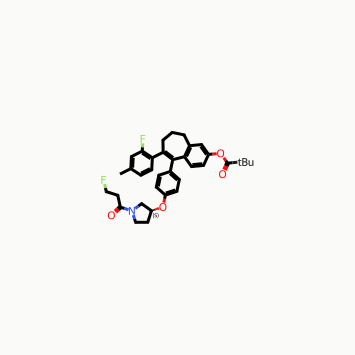 Cc1ccc(C2=C(c3ccc(O[C@H]4CCN(C(=O)CCF)C4)cc3)c3ccc(OC(=O)C(C)(C)C)cc3CCC2)c(F)c1